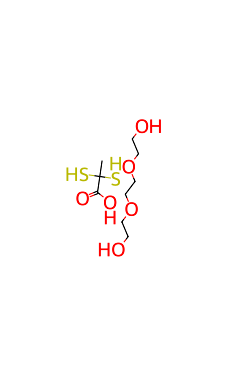 CC(S)(S)C(=O)O.OCCOCCOCCO